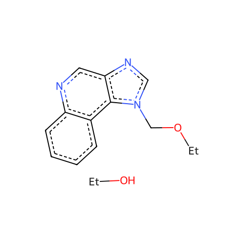 CCO.CCOCn1cnc2cnc3ccccc3c21